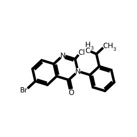 CC(C)c1ccccc1-n1c(Cl)nc2ccc(Br)cc2c1=O